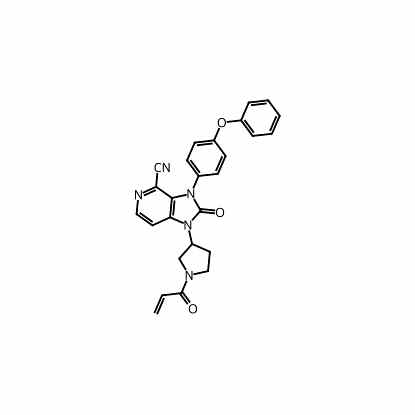 C=CC(=O)N1CCC(n2c(=O)n(-c3ccc(Oc4ccccc4)cc3)c3c(C#N)nccc32)C1